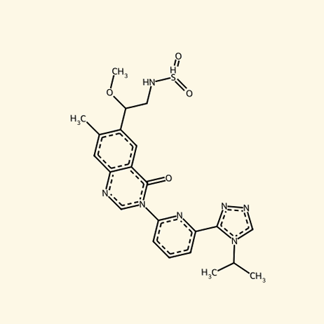 COC(CN[SH](=O)=O)c1cc2c(=O)n(-c3cccc(-c4nncn4C(C)C)n3)cnc2cc1C